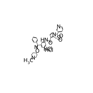 CN1CCC(O/N=C(/c2ccccc2)c2cccc(NC(=O)c3ccn4c3CS(=O)(=O)C4c3cccnc3)c2)CC1.Cl.Cl